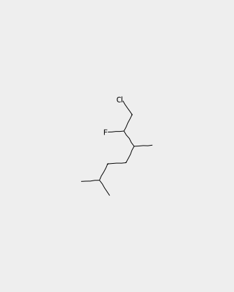 CC(C)CCC(C)C(F)CCl